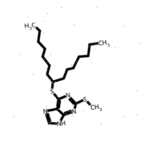 CCCCCCCC(CCCCCCC)Sc1nc(SC)nc2[nH]cnc12